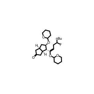 CCCCC(F)C/C=C(/OC1CCCCO1)[C@@H]1[C@H]2CC(=O)C[C@H]2C[C@H]1OC1CCCCO1